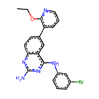 CCOc1ncccc1-c1ccc2nc(N)nc(Nc3cccc(Br)c3)c2c1